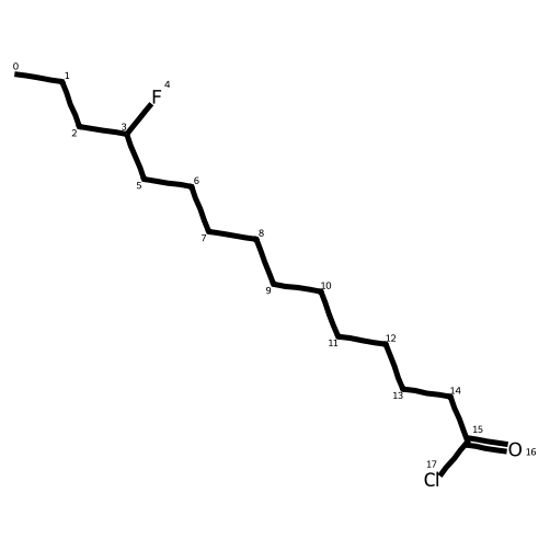 CCCC(F)CCCCCCCCCCC(=O)Cl